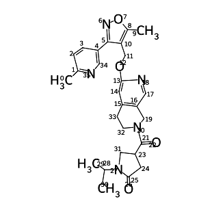 Cc1ccc(-c2noc(C)c2COc2cc3c(cn2)CN(C(=O)C2CC(=O)N(C(C)C)C2)CC3)cn1